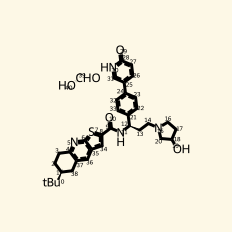 CC(C)(C)[C@H]1CCc2nc3sc(C(=O)N[C@H](CCN4CCC(O)C4)c4ccc(-c5ccc(=O)[nH]c5)cc4)cc3cc2C1.O=CO